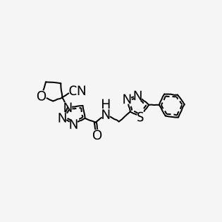 N#CC1(n2cc(C(=O)NCc3nnc(-c4ccccc4)s3)nn2)CCOC1